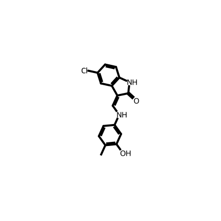 Cc1ccc(NC=C2C(=O)Nc3ccc(Cl)cc32)cc1O